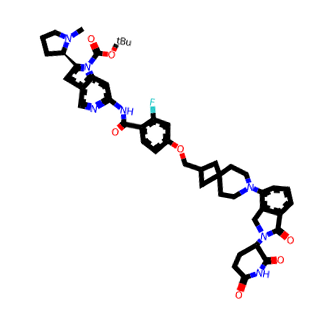 CN1CCC[C@@H]1c1cc2cnc(NC(=O)c3ccc(OCC4CC5(CCN(c6cccc7c6CN(C6CCC(=O)NC6=O)C7=O)CC5)C4)cc3F)cc2n1C(=O)OC(C)(C)C